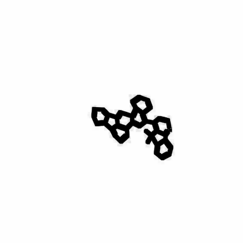 CC1(C)c2ccccc2-c2nccc(-c3cc4c5cccc6c5c(cc4c4ccccc34)-c3ccccc3-6)c21